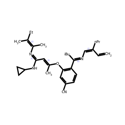 C=C/C(=C\N=C(\c1ccc(C#N)cc1O/C(C)=C/C(=N\C(C)=C(/C)CC)NC1CC1)C(C)CC)CCC